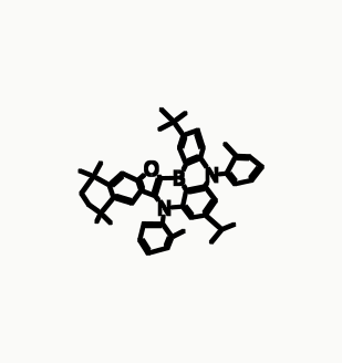 Cc1ccccc1N1c2ccc(C(C)(C)C)cc2B2c3oc4cc5c(cc4c3N(c3ccccc3C)c3cc(C(C)C)cc1c32)C(C)(C)CCC5(C)C